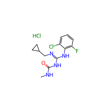 CNC(=O)NC(=NCC1CC1)Nc1c(F)cccc1Cl.Cl